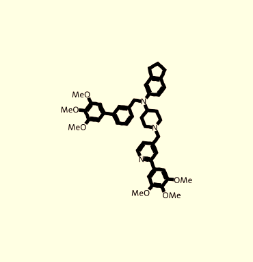 COc1cc(-c2cccc(CN(c3ccc4c(c3)CCC4)C3CCN(Cc4ccnc(-c5cc(OC)c(OC)c(OC)c5)c4)CC3)c2)cc(OC)c1OC